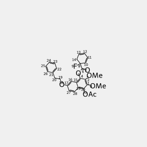 COc1c(OC)c(OC(=O)C2(F)C=CC=CC2)c2cc(OCCc3ccccc3)ccc2c1OC(C)=O